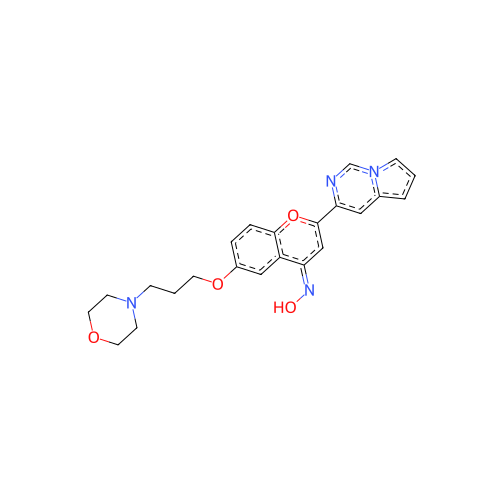 O/N=c1/cc(-c2cc3cccn3cn2)oc2ccc(OCCCN3CCOCC3)cc12